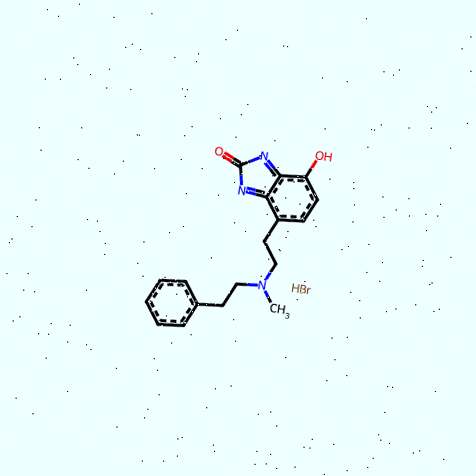 Br.CN(CCc1ccccc1)CCc1ccc(O)c2c1=NC(=O)N=2